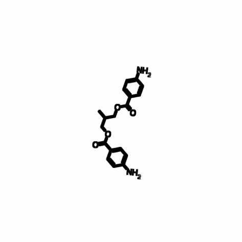 CC(COC(=O)c1ccc(N)cc1)COC(=O)c1ccc(N)cc1